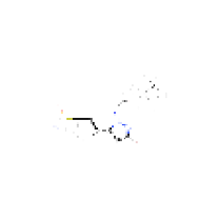 C/C(=C\C(C)(C)[S@+](N)[O-])c1cc(Br)nn1C[C@H](C)O[Si](C)(C)C(C)(C)C